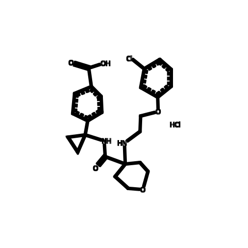 Cl.O=C(O)c1ccc(C2(NC(=O)C3(NCCOc4cccc(Cl)c4)CCOCC3)CC2)cc1